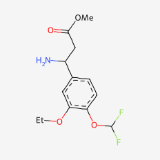 CCOc1cc(C(N)CC(=O)OC)ccc1OC(F)F